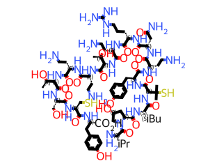 CC[C@H](C)[C@H](NC(=O)[C@@H]1C[C@@H](O)CN1C(=O)[C@@H](N)C(C)C)C(=O)N[C@H](C(=O)N[C@@H](Cc1ccc(O)cc1)C(=O)N[C@@H](CCN)C(=O)N[C@@H](CC(N)=O)C(=O)N[C@@H](CCCNC(=N)N)C(=O)N[C@@H](CCN)C(=O)N[C@H](C(=O)N[C@H](CCN)C(=O)N[C@@H](CCN)C(=O)N[C@H](C(=O)N[C@@H](CO)C(=O)N[C@@H](CS)C(=O)N[C@@H](Cc1ccc(O)cc1)C(=O)O)[C@@H](C)O)[C@@H](C)O)C(C)(C)S